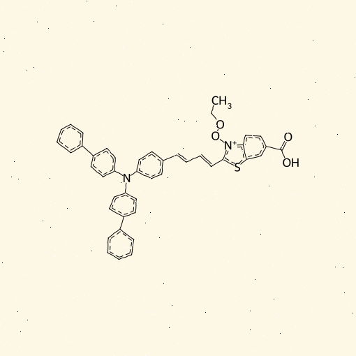 CCOO[n+]1c(/C=C/C=C/c2ccc(N(c3ccc(-c4ccccc4)cc3)c3ccc(-c4ccccc4)cc3)cc2)sc2cc(C(=O)O)ccc21